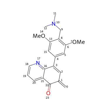 C=C1C=C(c2cc(OC)c(CN(C)C)c(OC)c2)c2ncccc2C1=O